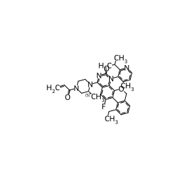 C=CC(=O)N1CCN(c2nc(=O)n(-c3c(C)ccnc3C(C)C)c3c4c(c(F)cc23)-c2c(CC)cccc2CO4)[C@@H](C)C1